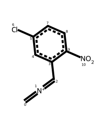 C=[N+]=Cc1cc(Cl)ccc1[N+](=O)[O-]